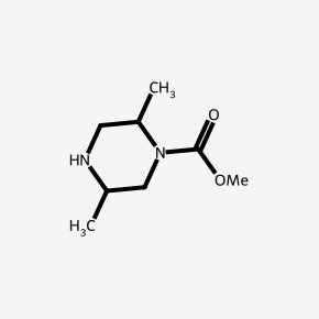 COC(=O)N1CC(C)NCC1C